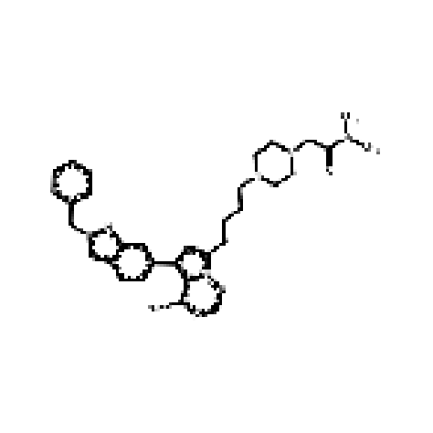 CN(C)C(=O)CN1CCN(CCCCc2cc(-c3ccc4cn(Cc5ccccc5)nc4c3)c3c(N)ncnn23)CC1